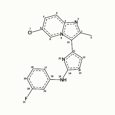 Cc1nc2ccc(Cl)cn2c1-c1csc(Nc2cccc(F)c2)n1